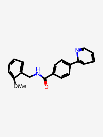 COc1ccccc1CNC(=O)c1ccc(-c2ccccn2)cc1